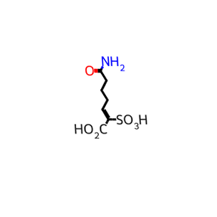 NC(=O)CCCC=C(C(=O)O)S(=O)(=O)O